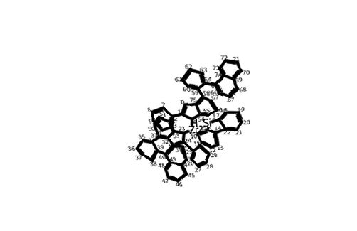 C1=C(c2ccccc2)[CH]([Zr]([c]2cccc3c2[SiH2]c2ccccc2-3)[CH]2C(c3ccccc3)=Cc3c(-c4ccccc4-c4cccc5ccccc45)cccc32)c2cccc(-c3ccccc3-c3cccc4ccccc34)c21